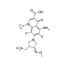 CO/N=C1\CN(c2c(F)c(N)c3c(=O)c(C(=O)O)cn(C4CC4)c3c2F)CC1CN